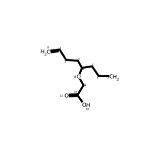 C=CCCC(CCC)OCC(=O)O